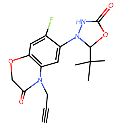 C#CCN1C(=O)COc2cc(F)c(N3NC(=O)OC3C(C)(C)C)cc21